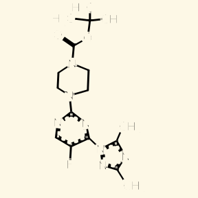 Cc1nc(C)n(-c2nc(N3CCN(C(=O)OC(C)(C)C)CC3)ncc2F)n1